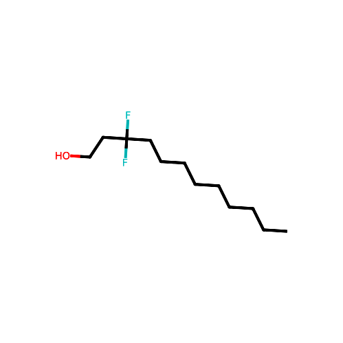 CCCCCCCCCC(F)(F)CCO